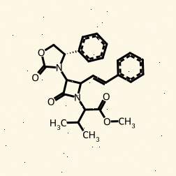 COC(=O)C(C(C)C)N1C(=O)C(N2C(=O)OC[C@@H]2c2ccccc2)C1C=Cc1ccccc1